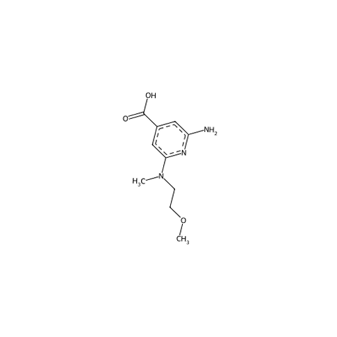 COCCN(C)c1cc(C(=O)O)cc(N)n1